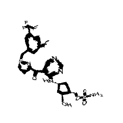 NS(=O)(=O)OC[C@H]1C[C@@H](Nc2ncncc2C(=O)c2ccn(Cc3cc(F)cc(C(F)(F)F)c3)n2)C[C@@H]1O